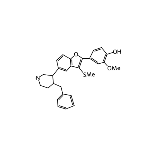 COc1cc(-c2oc3ccc(C4C[N]CCC4Cc4ccccc4)cc3c2SC)ccc1O